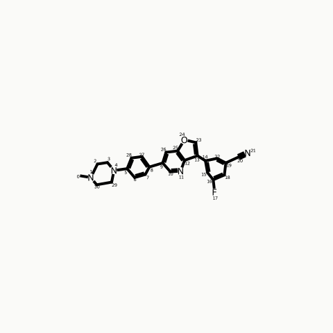 CN1CCN(c2ccc(-c3cnc4c(-c5cc(F)cc(C#N)c5)coc4c3)cc2)CC1